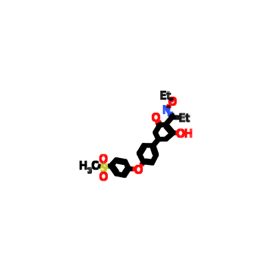 CCON=C(CC)C1=C(O)CC(c2ccc(Oc3ccc(S(C)(=O)=O)cc3)cc2)CC1=O